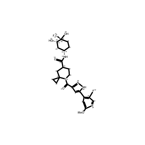 COc1cc(-c2cc(C(=O)N3CCC(C(=O)N[C@H]4CC[C@](O)(C(F)(F)F)[C@@H](O)C4)CC34CC4)n[nH]2)c(F)cn1